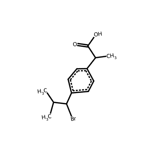 CC(C(=O)O)c1ccc(C(Br)C(C)C)cc1